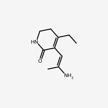 CCC1=C(/C=C(\C)N)C(=O)NCC1